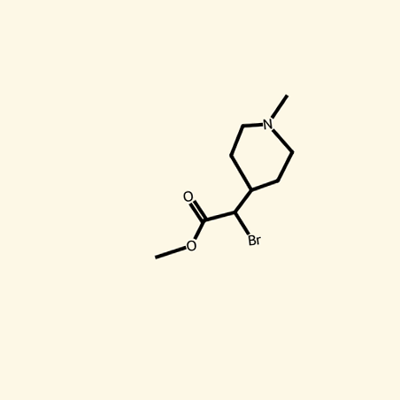 COC(=O)C(Br)C1CCN(C)CC1